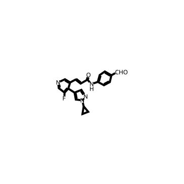 O=Cc1ccc(NC(=O)C=Cc2cncc(F)c2-c2cnn(C3CC3)c2)cc1